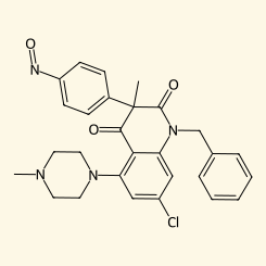 CN1CCN(c2cc(Cl)cc3c2C(=O)C(C)(c2ccc(N=O)cc2)C(=O)N3Cc2ccccc2)CC1